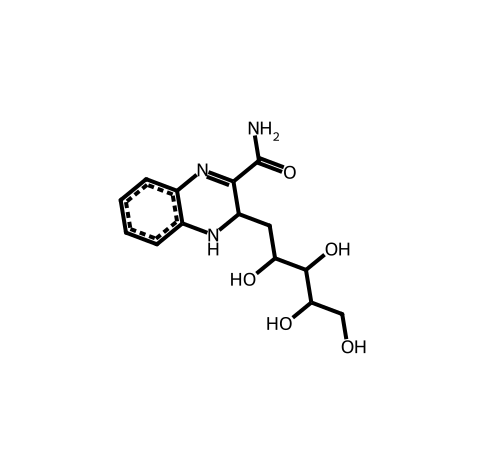 NC(=O)C1=Nc2ccccc2NC1CC(O)C(O)C(O)CO